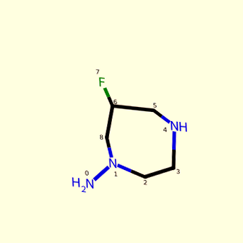 NN1CCNCC(F)C1